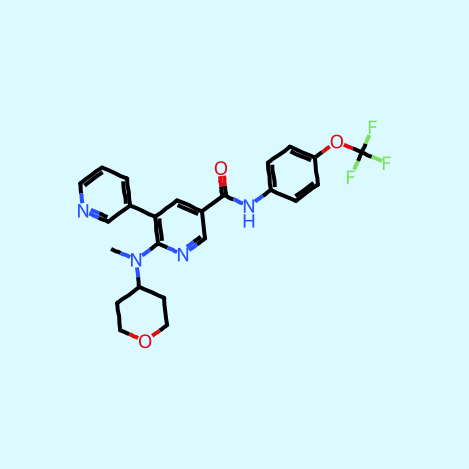 CN(c1ncc(C(=O)Nc2ccc(OC(F)(F)F)cc2)cc1-c1cccnc1)C1CCOCC1